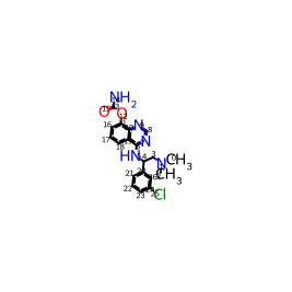 CN(C)CC(Nc1ncnc2c(OC(N)=O)cccc12)c1cccc(Cl)c1